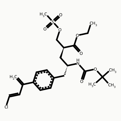 C=C(/C=C/Cl)c1ccc(C[C@H](C[C@@H](COS(C)(=O)=O)C(=O)OCC)NC(=O)OC(C)(C)C)cc1